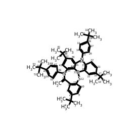 C=C1c2cc(C(C)(C)C)ccc2SB2c3cc(C(C)(C)C)ccc3N(c3ccc(C(C)(C)C)cc3)c3cc(C(C)(C)C)cc(c32)N1c1ccc(C(C)(C)C)cc1